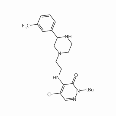 CC(C)(C)n1ncc(Cl)c(NCCN2CCNC(c3cccc(C(F)(F)F)c3)C2)c1=O